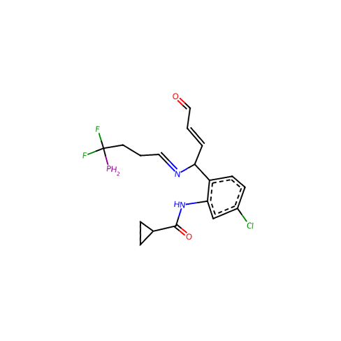 O=CC=CC(/N=C/CCC(F)(F)P)c1ccc(Cl)cc1NC(=O)C1CC1